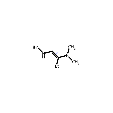 CC/C(=C\NC(C)C)P(C)C